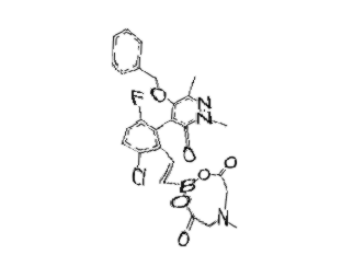 Cc1nn(C)c(=O)c(-c2c(F)ccc(Cl)c2/C=C/B2OC(=O)CN(C)CC(=O)O2)c1OCc1ccccc1